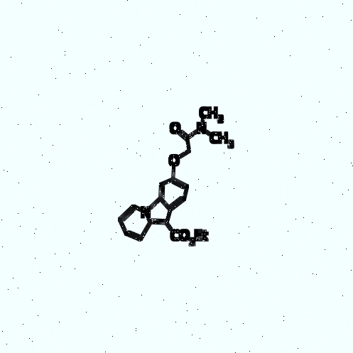 CCOC(=O)c1c2ccc(OCC(=O)N(C)C)cc2n2ccccc12